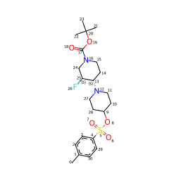 Cc1ccc(S(=O)(=O)OC2CCN([C@H]3CCN(C(=O)OC(C)(C)C)C[C@@H]3F)CC2)cc1